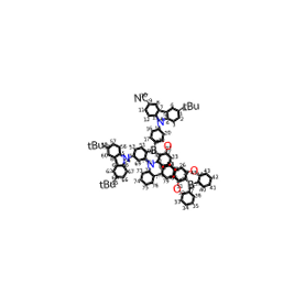 CC(C)(C)c1ccc2c(c1)c1cc(C#N)ccc1n2-c1ccc2c(c1)Oc1cc(-c3cc4c5c(c3)Oc3ccccc3B5c3ccccc3O4)cc3c1B2c1ccc(-n2c4ccc(C(C)(C)C)cc4c4cc(C(C)(C)C)ccc42)cc1N3c1ccccc1-c1ccccc1